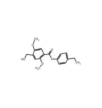 CCc1ccc(OC(=O)c2cc(OC)c(CO)cc2OC)cc1